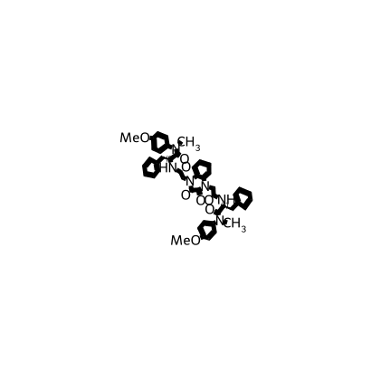 COc1ccc(N(C)C(=O)[C@H](Cc2ccccc2)NC(=O)Cn2c(=O)c(=O)n(CC(=O)N[C@@H](Cc3ccccc3)C(=O)N(C)c3ccc(OC)cc3)c3ccccc32)cc1